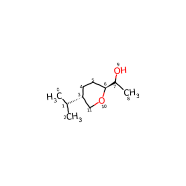 CC(C)[C@@H]1CC[C@@H](C(C)O)OC1